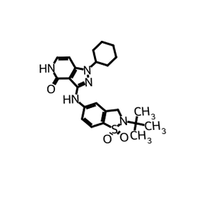 CC(C)(C)N1Cc2cc(Nc3nn(C4CCCCC4)c4cc[nH]c(=O)c34)ccc2S1(=O)=O